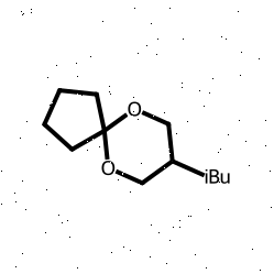 CCC(C)C1COC2(CCCC2)OC1